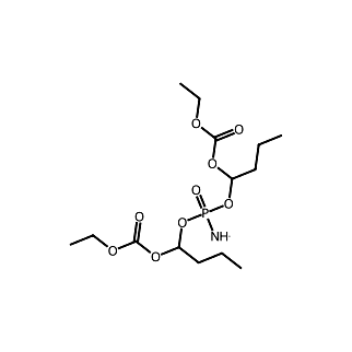 CCCC(OC(=O)OCC)OP([NH])(=O)OC(CCC)OC(=O)OCC